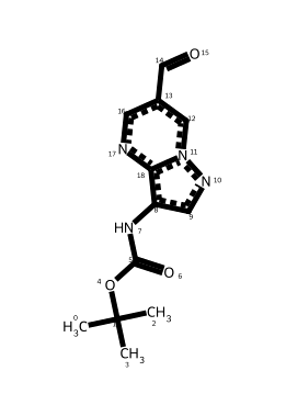 CC(C)(C)OC(=O)Nc1cnn2cc(C=O)cnc12